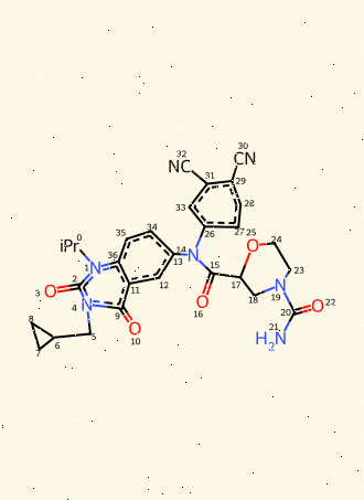 CC(C)n1c(=O)n(CC2CC2)c(=O)c2cc(N(C(=O)C3CN(C(N)=O)CCO3)c3ccc(C#N)c(C#N)c3)ccc21